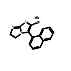 Br.BrC1=C(c2cccc3ccccc23)N2CCN=C2S1